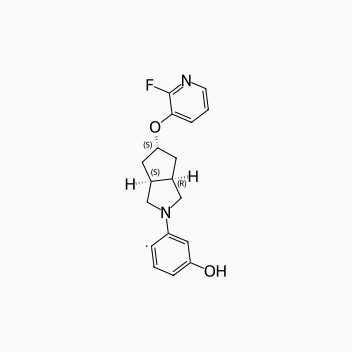 Oc1cc[c]c(N2C[C@H]3C[C@H](Oc4cccnc4F)C[C@H]3C2)c1